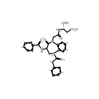 O=C[C@H](CC(=O)O)NC(=O)CN1C(=O)C(NC(=O)c2ccccc2)CN(C(=O)Cc2ccccc2)c2ccccc21